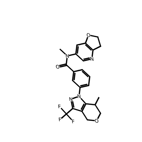 CC1COCc2c(C(F)(F)F)nn(-c3cccc(C(=O)N(C)c4cnc5c(c4)OCC5)c3)c21